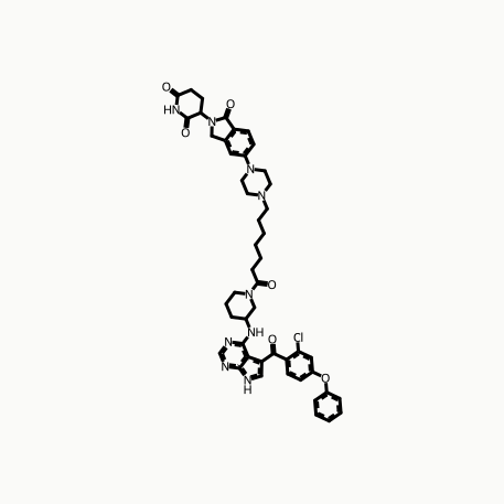 O=C1CCC(N2Cc3cc(N4CCN(CCCCCCC(=O)N5CCCC(Nc6ncnc7[nH]cc(C(=O)c8ccc(Oc9ccccc9)cc8Cl)c67)C5)CC4)ccc3C2=O)C(=O)N1